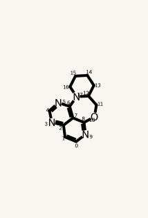 c1cc2ncnc3c2c(n1)OCC1CCCCN31